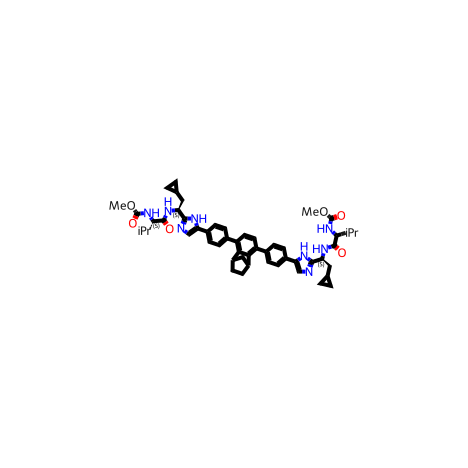 COC(=O)NC(C(=O)N[C@@H](CC1CC1)c1ncc(-c2ccc(-c3ccc(-c4ccc(-c5cnc([C@H](CC6CC6)NC(=O)[C@@H](NC(=O)OC)C(C)C)[nH]5)cc4)c4c3C3CCC4C3)cc2)[nH]1)C(C)C